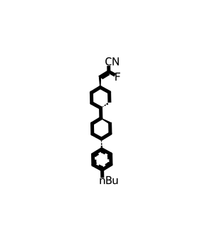 CCCCc1ccc([C@H]2CC[C@H]([C@H]3CC[C@H](C=C(F)C#N)CC3)CC2)cc1